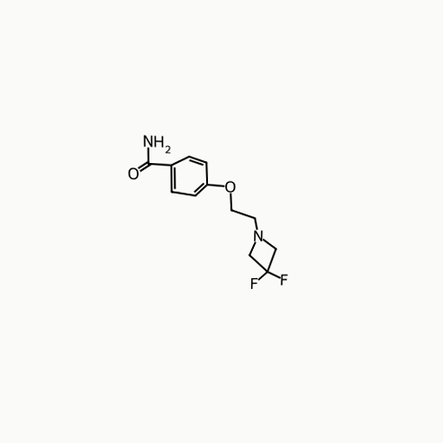 NC(=O)c1ccc(OCCN2CC(F)(F)C2)cc1